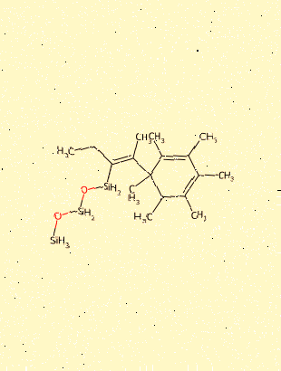 CCC([SiH2]O[SiH2]O[SiH3])=C(C)C1(C)C(C)=C(C)C(C)=C(C)C1C